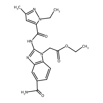 CCOC(=O)Cn1c(NC(=O)c2cc(C)nn2CC)nc2cc(C(N)=O)ccc21